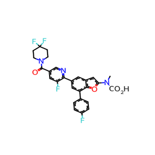 CN(C(=O)O)c1cc2cc(-c3ncc(C(=O)N4CCC(F)(F)CC4)cc3F)cc(-c3ccc(F)cc3)c2o1